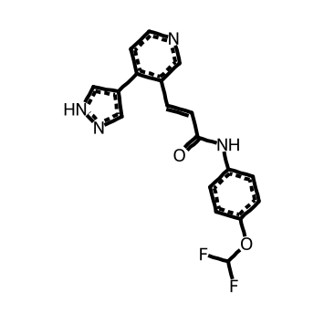 O=C(/C=C/c1cnccc1-c1cn[nH]c1)Nc1ccc(OC(F)F)cc1